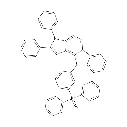 O=P(c1ccccc1)(c1ccccc1)c1cccc(-n2c3ccccc3c3ccc4c(cc(-c5ccccc5)n4-c4ccccc4)c32)c1